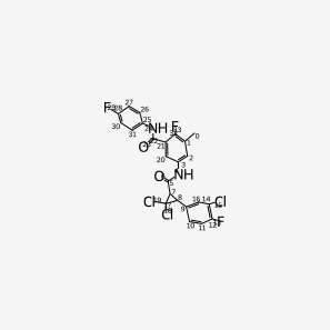 Cc1cc(NC(=O)C2C(c3ccc(F)c(Cl)c3)C2(Cl)Cl)cc(C(=O)Nc2ccc(F)cc2)c1F